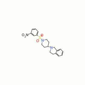 O=[N+]([O-])c1cccc(S(=O)(=O)N2CCC(N3CCc4ccccc4C3)CC2)c1